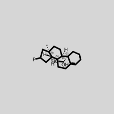 C[C@]12CC[C@@H]3[C@@H](CCC4=CCCC[C@@]43C(O)O)[C@@H]1CC(F)C2